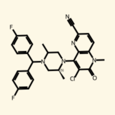 CC1CN(c2c(Cl)c(=O)n(C)c3ccc(C#N)nc23)[C@@H](C)CN1C(c1ccc(F)cc1)c1ccc(F)cc1